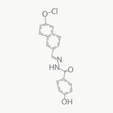 O=C(N/N=C/c1ccc2cc(OCl)ccc2c1)c1ccc(O)cc1